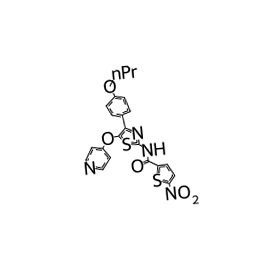 CCCOc1ccc(-c2nc(NC(=O)c3ccc([N+](=O)[O-])s3)sc2Oc2ccncc2)cc1